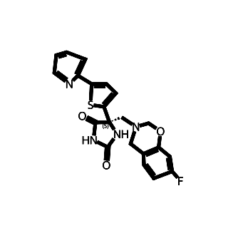 O=C1NC(=O)[C@@](CN2COc3cc(F)ccc3C2)(c2ccc(-c3ccccn3)s2)N1